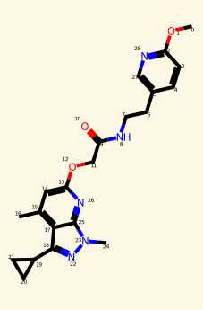 COc1ccc(CCNC(=O)COc2cc(C)c3c(C4CC4)nn(C)c3n2)cn1